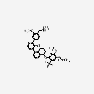 CNCc1ccc(-c2nccc(-c3cccc4c3CCCC4Oc3nc(OC)c(CNC)cc3C(F)(F)F)c2Cl)cc1OC